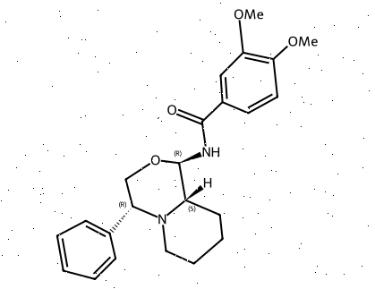 COc1ccc(C(=O)N[C@@H]2OC[C@@H](c3ccccc3)N3CCCC[C@@H]23)cc1OC